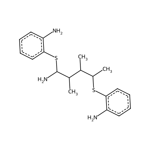 CC(Sc1ccccc1N)C(C)C(C)C(N)Sc1ccccc1N